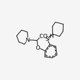 O=C(O)C(Oc1ccccc1SC1CCCCC1)N1CCCCC1